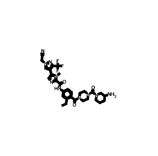 CCc1cc(NC(=O)c2ncc(-c3cn(CC#N)nc3C(F)(F)F)n2C)ccc1C(=O)N1CCN(C(=O)N2CCCC(N)C2)CC1